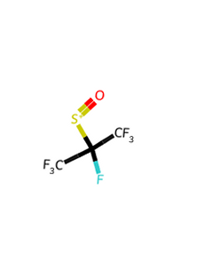 O=[S+]C(F)(C(F)(F)F)C(F)(F)F